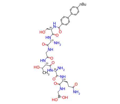 CCCCc1ccc(-c2ccc(C(=O)N[C@H](CO)C(=O)N[C@H](N)C(=O)NCC(=O)N[C@H](C(=O)N[C@@H](N)C(=O)N[C@@H](CCC(N)=O)C(=O)NCB(O)O)C(C)O)cc2)cc1